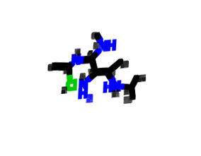 C=C(Cl)/N=C(NC)\C(N)=C(/C)NC(C)C